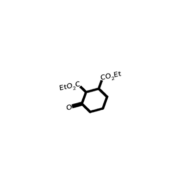 CCOC(=O)C1CCCC(=O)C1C(=O)OCC